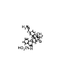 C[C@@]1(c2ccc(C=NN)cc2)NC(=O)N(CC(=O)N[C@H](CC(=O)O)c2ccccc2)C1=O